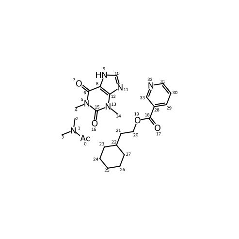 CC(=O)N(C)C.Cn1c(=O)c2[nH]cnc2n(C)c1=O.O=C(OCCC1CCCCC1)c1cccnc1